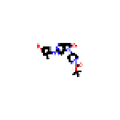 COc1ccc(Nc2cc3c(cn2)CC(=O)N3C2CCN(C(=O)OC(C)(C)C)CC2)c(C)c1